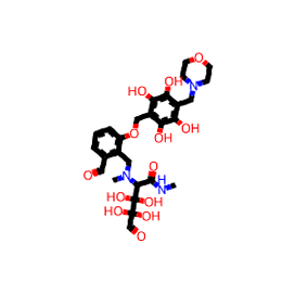 CNC(=O)C(N(C)Cc1c(C=O)cccc1OCc1c(O)c(O)c(CN2CCOCC2)c(O)c1O)C(O)(O)C(O)(O)C=O